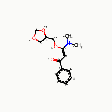 CN(C)C(=CC(=O)c1ccccc1)OCC1COCO1